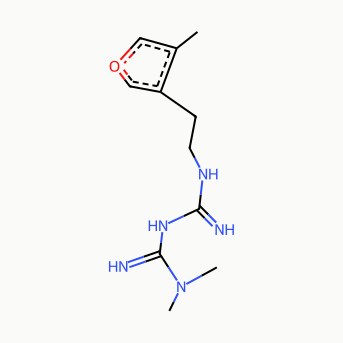 Cc1cocc1CCNC(=N)NC(=N)N(C)C